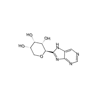 O[C@@H]1[C@H](O)[C@@H](c2nc3ncncc3[nH]2)OC[C@@H]1O